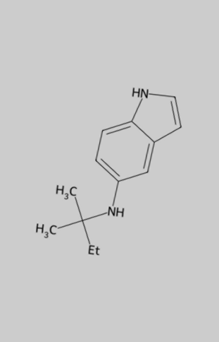 CCC(C)(C)Nc1ccc2[nH]ccc2c1